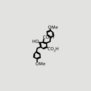 COc1ccc(Cc2cc(C(=O)O)c(Cc3ccc(OC)cc3)c(C(=O)O)c2O)cc1